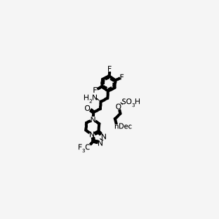 CCCCCCCCCCCCOS(=O)(=O)O.N[C@@H](CC(=O)N1CCn2c(nnc2C(F)(F)F)C1)Cc1cc(F)c(F)cc1F